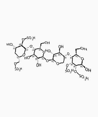 O=S(=O)(O)OC[C@@H]1C[C@H](O)[C@@H](OS(=O)(=O)O)[C@H](O[C@H]2[C@H](O)[C@@H](O)[C@H](O[C@@H]3OC[C@@H](O[C@H]4[C@@H](OS(=O)(=O)O)[C@@H](OS(=O)(=O)O)[C@H](O)O[C@@H]4CO)[C@H](O)[C@H]3O)O[C@@H]2CO)O1